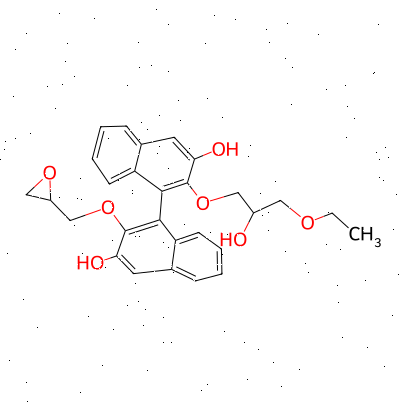 CCOCC(O)COc1c(O)cc2ccccc2c1-c1c(OCC2CO2)c(O)cc2ccccc12